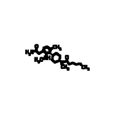 CCCCCC(=O)N(C)[C@H]1CC[C@H](c2c(C)ccc(CC(N)=O)c2NC)CC1